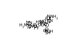 C[C@@H]1[C@@H](F)[C@@H](COP(=O)(S)O[C@H]2[C@@H](O)[C@H](n3cnc4c(N)ncnc43)O[C@@H]2CO[P@](=O)(O)S)O[C@H]1n1cnc2c(N)ncnc21